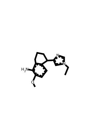 CCn1cnc(C2CCCc3c2ccc(OC)c3N)c1